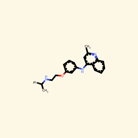 Cc1cc(Nc2cccc(OCCNC(C)C(C)C)c2)c2ccccc2n1